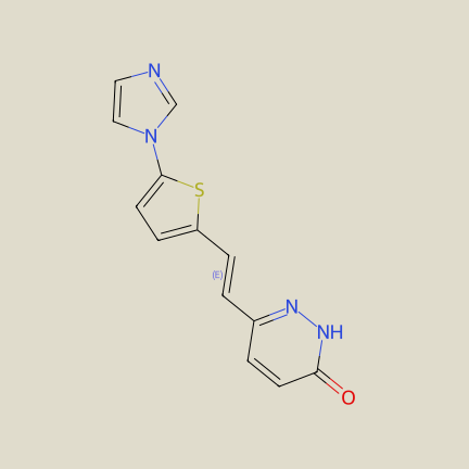 O=c1ccc(/C=C/c2ccc(-n3ccnc3)s2)n[nH]1